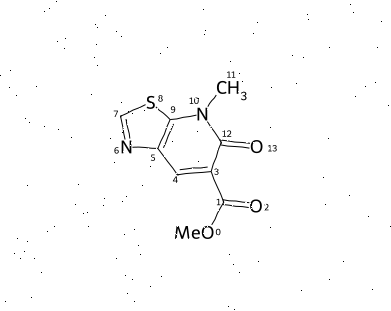 COC(=O)c1cc2ncsc2n(C)c1=O